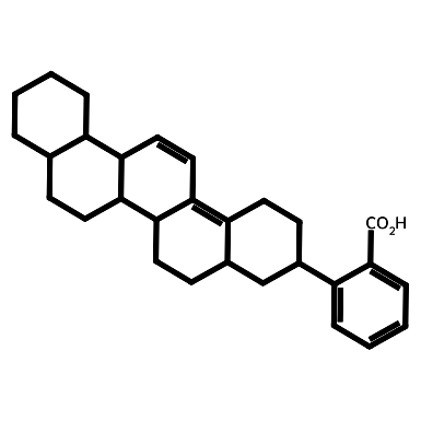 O=C(O)c1ccccc1C1CCC2=C3C=CC4C5CCCCC5CCC4C3CCC2C1